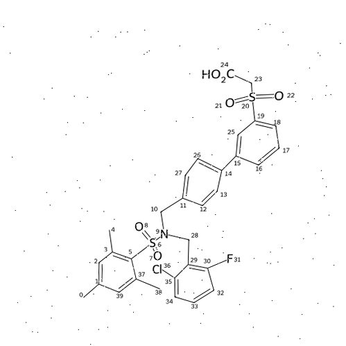 Cc1cc(C)c(S(=O)(=O)N(Cc2ccc(-c3cccc(S(=O)(=O)CC(=O)O)c3)cc2)Cc2c(F)cccc2Cl)c(C)c1